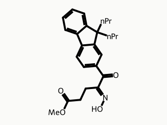 CCCC1(CCC)c2ccccc2-c2ccc(C(=O)/C(CCC(=O)OC)=N/O)cc21